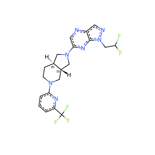 FC(F)Cn1ncc2ncc(N3C[C@@H]4CCN(c5cccc(C(F)(F)F)n5)C[C@H]4C3)nc21